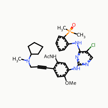 COc1cc(C#CCN(C)C2CCCC2)c(NC(C)=O)cc1Nc1ncc(Cl)c(Nc2ccccc2P(C)(C)=O)n1